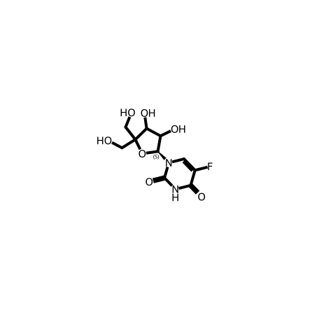 O=c1[nH]c(=O)n([C@H]2OC(CO)(CO)C(O)C2O)cc1F